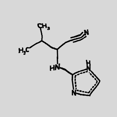 CC(C)C(C#N)Nc1ncc[nH]1